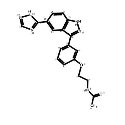 CC(=O)NCCOc1cccc(-c2n[nH]c3ccc(-c4ncn[nH]4)cc23)c1